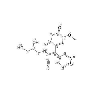 COC1C=C2C(=CN(CC(O)CO)C(C#N)=C2c2cccnc2)CC1=O